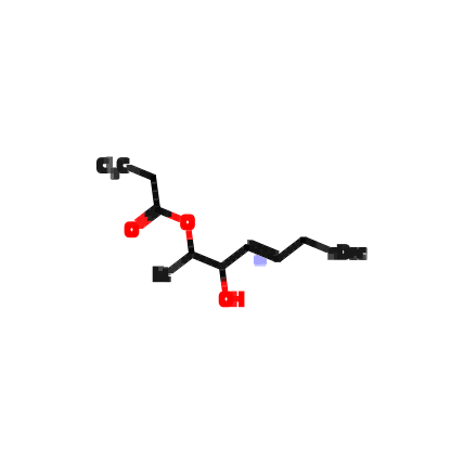 CCCCCCCCCCC/C=C/C(O)C(CC)OC(=O)CC(Cl)(Cl)Cl